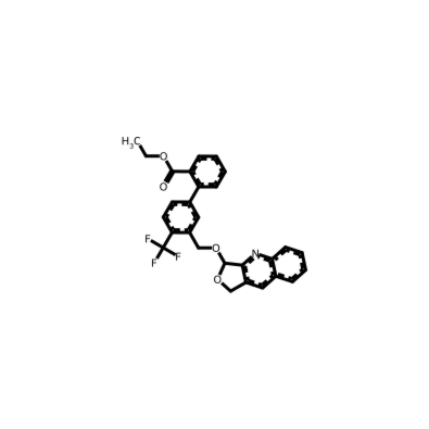 CCOC(=O)c1ccccc1-c1ccc(C(F)(F)F)c(COC2OCc3cc4ccccc4nc32)c1